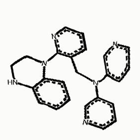 c1cncc(N(Cc2cccnc2N2CCNc3ccccc32)c2cccnc2)c1